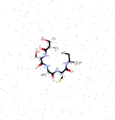 CC(C)C[C@H](NC(=O)[C@H](CS)NC(=O)[C@@H](NC(=O)[C@H](CO)NC(=O)[C@@H](N)[C@@H](C)O)C(C)C)C(=O)O